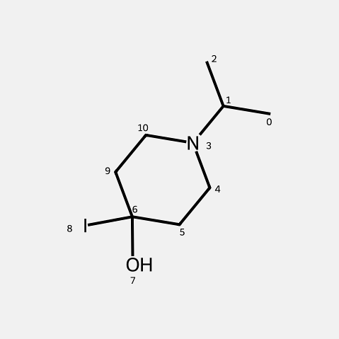 CC(C)N1CCC(O)(I)CC1